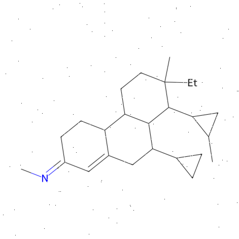 CCC1(C)CCC2C3CC/C(=N\C)C=C3CC(C3CC3)C2C1C1CC1C